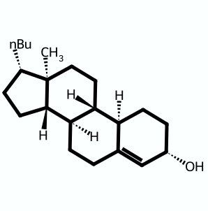 CCCC[C@H]1CC[C@H]2[C@@H]3CCC4=C[C@@H](O)CC[C@@H]4[C@H]3CC[C@]12C